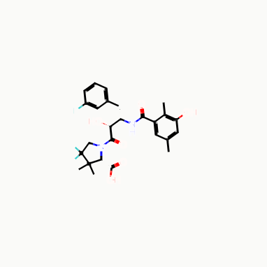 Cc1cc(O)c(C)c(C(=O)N[C@@H](Cc2cccc(F)c2)[C@H](O)C(=O)N2CC(F)(F)C(C)(C)[C@H]2C(=O)O)c1